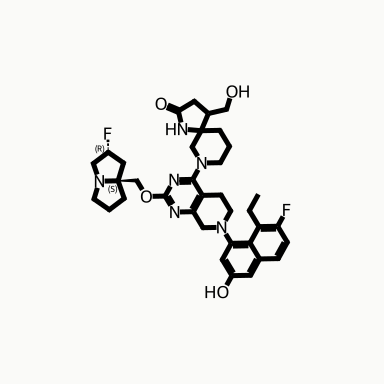 CCc1c(F)ccc2cc(O)cc(N3CCc4c(nc(OC[C@@]56CCCN5C[C@H](F)C6)nc4N4CCCC5(C4)NC(=O)CC5CO)C3)c12